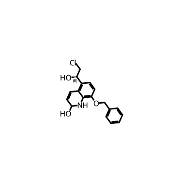 OC1C=Cc2c([C@@H](O)CCl)ccc(OCc3ccccc3)c2N1